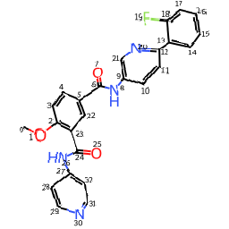 COc1ccc(C(=O)Nc2ccc(-c3ccccc3F)nc2)cc1C(=O)Nc1ccncc1